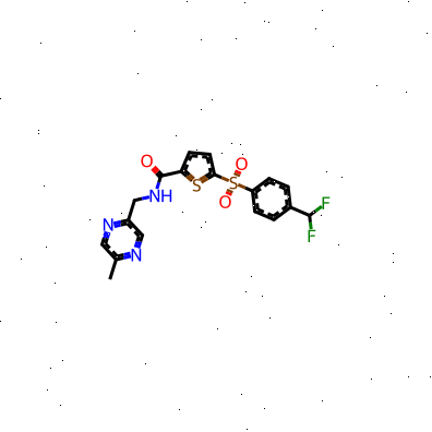 Cc1cnc(CNC(=O)c2ccc(S(=O)(=O)c3ccc(C(F)F)cc3)s2)cn1